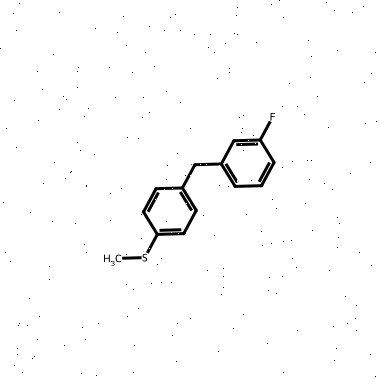 CSc1ccc([CH]c2cccc(F)c2)cc1